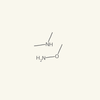 CNC.CON